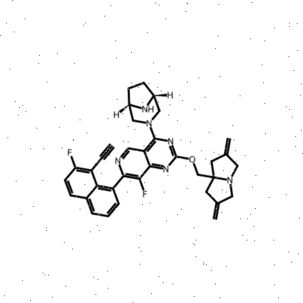 C#Cc1c(F)ccc2cccc(-c3ncc4c(N5C[C@H]6CC[C@@H](C5)N6)nc(OCC56CC(=C)CN5CC(=C)C6)nc4c3F)c12